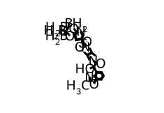 BC1(B)Oc2cc(S(=O)(=O)N3CC4=C(CN(C(=O)C(O)c5cccc6oc(C)nc56)C4)C3)cnc2OC1(B)B